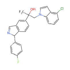 OC(Cn1ccc2c(Cl)cccc21)(c1ccc2c(c1)C=NC2c1ccc(F)cc1)C(F)(F)F